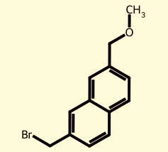 COCc1ccc2ccc(CBr)cc2c1